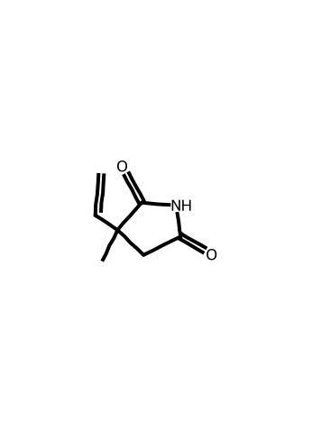 C=CC1(C)CC(=O)NC1=O